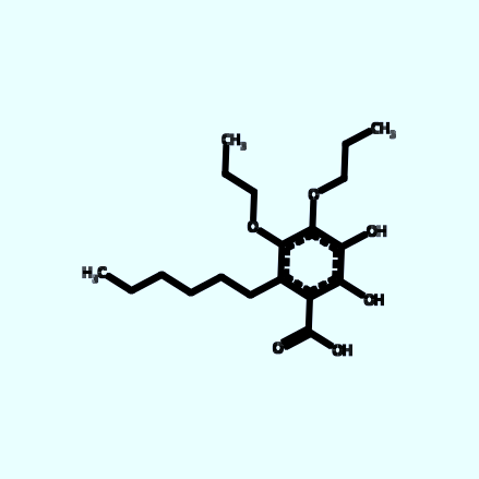 CCCCCCc1c(OCCC)c(OCCC)c(O)c(O)c1C(=O)O